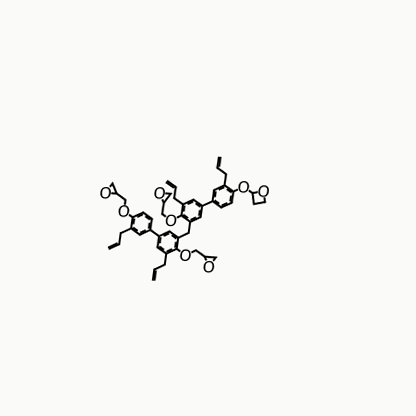 C=CCc1cc(-c2cc(CC=C)c(OCC3CO3)c(Cc3cc(-c4ccc(OC5CCO5)c(CC=C)c4)cc(CC=C)c3OCC3CO3)c2)ccc1OCC1CO1